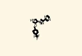 FC(F)(F)c1ccc(CO[C@@H]2CNC[C@H]2n2cc(-c3cnccn3)nn2)cc1